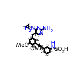 C1CC1.COc1cc(Cc2cnc(N)nc2N)cc(C#Cc2cccc(NC(=O)O)c2)c1OC